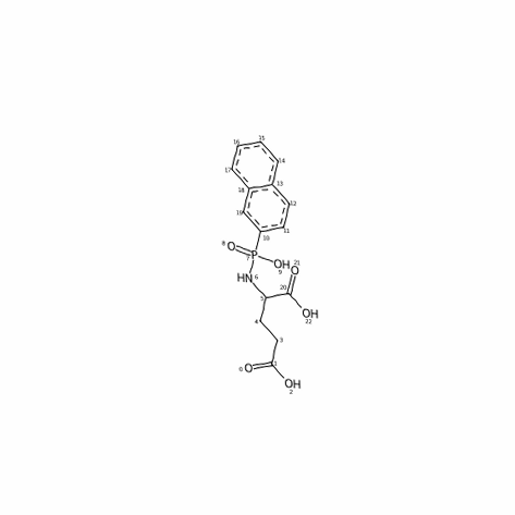 O=C(O)CCC(NP(=O)(O)c1ccc2ccccc2c1)C(=O)O